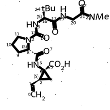 C=C[C@@H]1C[C@]1(NC(=O)[C@@H]1CCCN1C(=O)N[C@H](C(=O)NCC(=O)NC)C(C)(C)C)C(=O)O